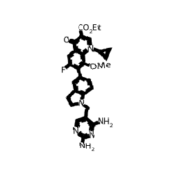 CCOC(=O)c1cn(C2CC2)c2c(OC)c(-c3ccc4c(c3)CCN4Cc3cnc(N)nc3N)c(F)cc2c1=O